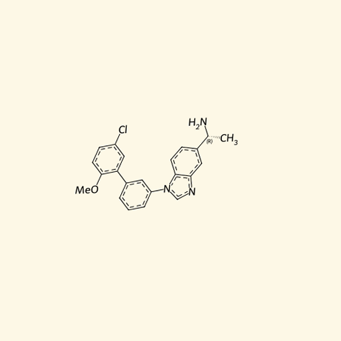 COc1ccc(Cl)cc1-c1cccc(-n2cnc3cc([C@@H](C)N)ccc32)c1